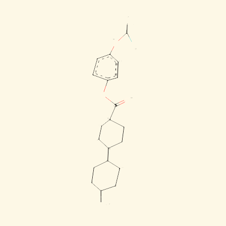 CCCCCCCC1CCC(C2CCC(C(=O)Oc3ccc(OC(F)C(F)(F)F)cc3)CC2)CC1